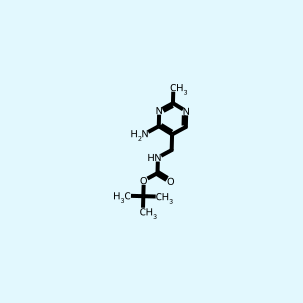 Cc1ncc(CNC(=O)OC(C)(C)C)c(N)n1